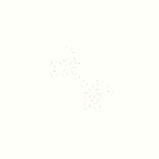 CCC1(COc2ccc(C3(c4ccc(C)cc4)c4ccccc4-c4ccc(N(c5ccc(-c6ccc(N(c7ccc(F)c(F)c7)c7ccc8c(c7)C(c7ccc(C)cc7)(c7ccc(OCC9(CC)COC9)cc7)c7ccccc7-8)cc6)cc5)c5ccc(F)c(F)c5)cc43)cc2)COC1